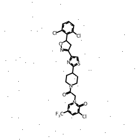 O=C(Cn1cc(C(F)(F)F)cc(Cl)c1=O)N1CCC(c2nc(C3=NOC(c4c(Cl)cccc4Cl)C3)cs2)CC1